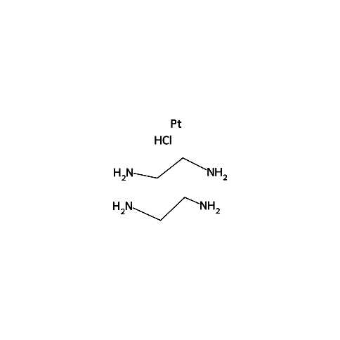 Cl.NCCN.NCCN.[Pt]